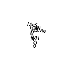 CSc1cc(C)nc(SC)c1NC(=O)CN1CCN(CCSc2nc3cc(OCc4ccccc4)ccc3[nH]2)CC1